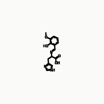 COc1cccc(C=NC(Cc2c[nH]cn2)C(=O)O)c1O